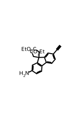 C#Cc1ccc2c(c1)C(CC(=O)OCC)(CC(=O)OCC)c1cc(N)ccc1-2